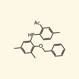 CC(=O)c1cc(C)ccc1Pc1cc(C)cc(C)c1OCc1ccccc1